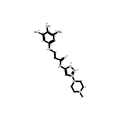 CN1CCN([n+]2cc([N-]C(=O)CCSc3cc(C(C)(C)C)c(O)c(C(C)(C)C)c3)on2)CC1